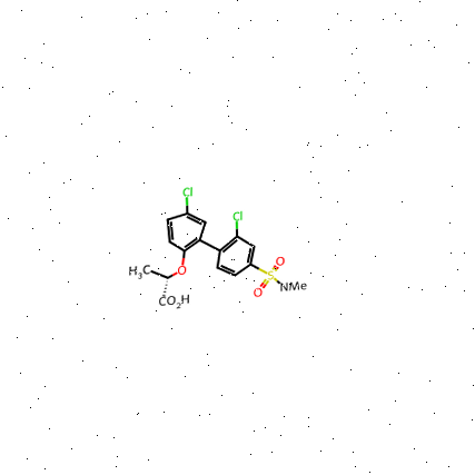 CNS(=O)(=O)c1ccc(-c2cc(Cl)ccc2O[C@@H](C)C(=O)O)c(Cl)c1